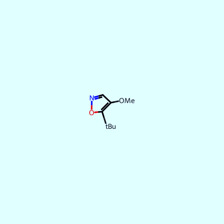 COc1cnoc1C(C)(C)C